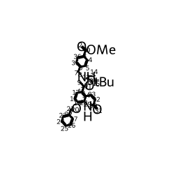 COC(=O)c1ccc(CNCC(O[Si](C)(C)C(C)(C)C)c2ccc(OCc3ccccc3)c3[nH]c(=O)ccc23)cc1